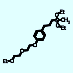 CCOCCOCCOc1ccc(CCC[Si](C)(OCC)OCC)cc1